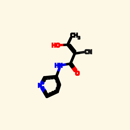 CC(O)=C(C#N)C(=O)Nc1cccnc1